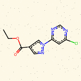 CCOC(=O)c1cnn(-c2cc(Cl)ncn2)c1